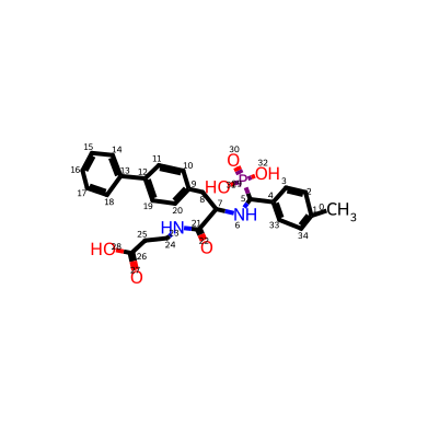 Cc1ccc(C(NC(Cc2ccc(-c3ccccc3)cc2)C(=O)NCCC(=O)O)P(=O)(O)O)cc1